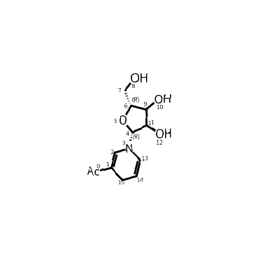 CC(=O)C1=CN([C@@H]2O[C@H](CO)C(O)C2O)C=CC1